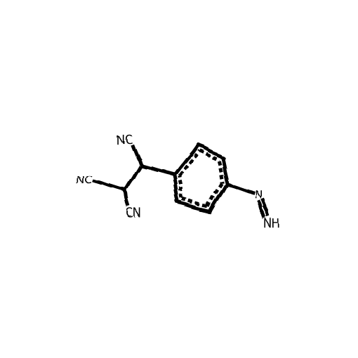 N#CC(C#N)C(C#N)c1ccc(N=N)cc1